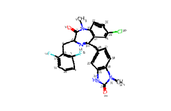 CN1C(=O)C(Cc2c(F)cccc2F)N=C(c2ccc3c(c2)[nH]c(=O)n3C)c2cc(Cl)ccc21